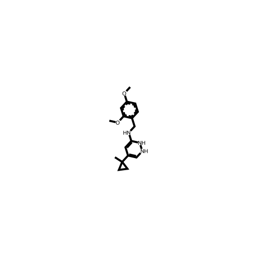 COc1ccc(CNC2=CC(C3(C)CC3)=CNN2)c(OC)c1